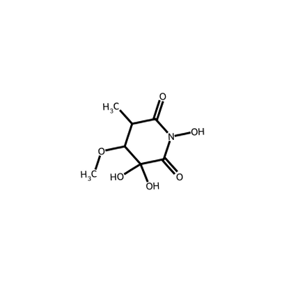 COC1C(C)C(=O)N(O)C(=O)C1(O)O